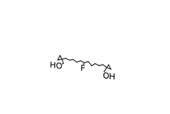 OCC1(CCCCCC(F)CCCCCC2(CO)CC2)CC1